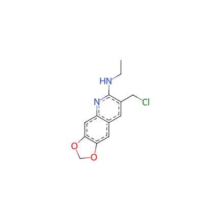 CCNc1nc2cc3c(cc2cc1CCl)OCO3